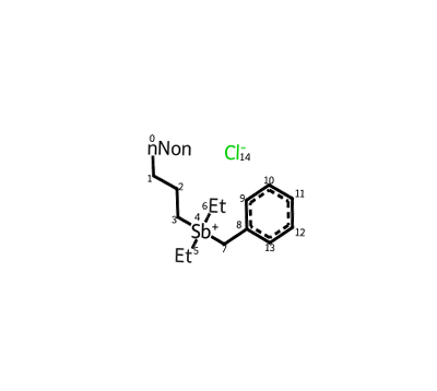 CCCCCCCCCCC[CH2][Sb+]([CH2]C)([CH2]C)[CH2]c1ccccc1.[Cl-]